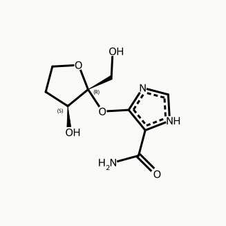 NC(=O)c1[nH]cnc1O[C@@]1(CO)OCC[C@@H]1O